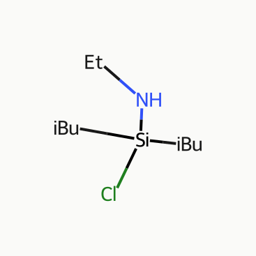 CCN[Si](Cl)(C(C)CC)C(C)CC